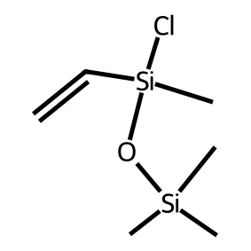 C=C[Si](C)(Cl)O[Si](C)(C)C